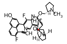 C#Cc1c(F)ccc2cc(O)cc(-c3ncc4c(N5C[C@H]6CC[C@@H](C5)N6C(=O)C=C)nc(OC[C@@H]5CCCN5C)nc4c3F)c12